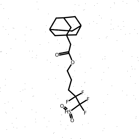 O=C(CC12CC3CC(CC(C3)C1)C2)OCCCC(F)(F)C(F)(F)[SH](=O)=O